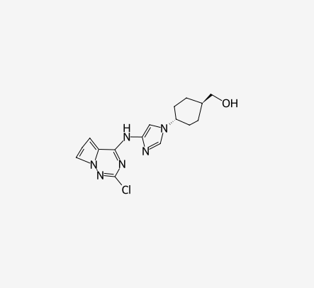 OC[C@H]1CC[C@H](n2cnc(Nc3nc(Cl)nn4cccc34)c2)CC1